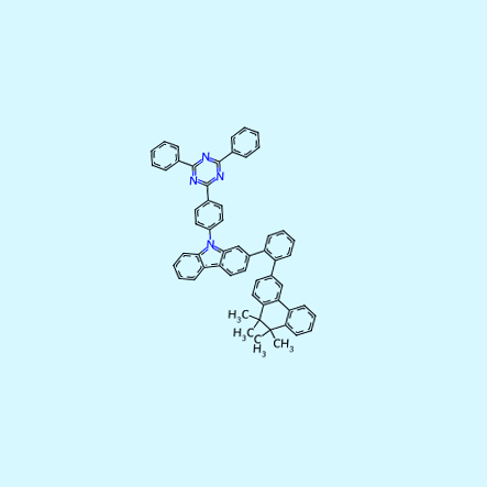 CC1(C)c2ccccc2-c2cc(-c3ccccc3-c3ccc4c5ccccc5n(-c5ccc(-c6nc(-c7ccccc7)nc(-c7ccccc7)n6)cc5)c4c3)ccc2C1(C)C